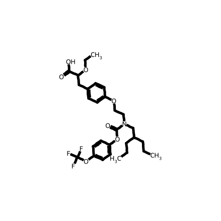 CCCC(CCC)CN(CCOc1ccc(CC(OCC)C(=O)O)cc1)C(=O)Oc1ccc(OC(F)(F)F)cc1